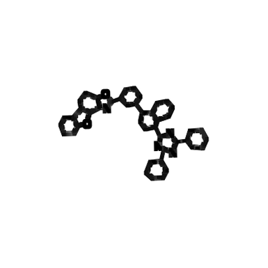 c1ccc(-c2nc(-c3ccccc3)nc(-c3ccc(-c4cccc(-c5nc6c(ccc7c8ccccc8oc76)o5)c4)c4ccccc34)n2)cc1